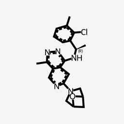 Cc1cccc([C@@H](C)Nc2nnc(C)c3cnc(N4CC5CC(C4)O5)cc23)c1Cl